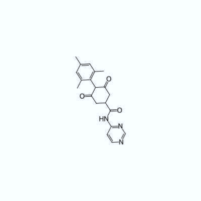 Cc1cc(C)c(C2C(=O)CC(C(=O)Nc3ccncn3)CC2=O)c(C)c1